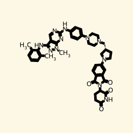 Cc1cccc(C)c1Nc1nn(C)c2nc(Nc3ccc(N4CCN(C[C@@H]5CCN(c6ccc7c(c6)C(=O)N(C6CCC(=O)NC6=O)C7=O)C5)CC4)cc3)ncc12